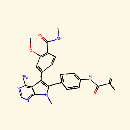 C=C(C)C(=O)Nc1ccc(-c2c(-c3ccc(C(=O)NC)c(OC)c3)c3c(N)ncnc3n2C)cc1